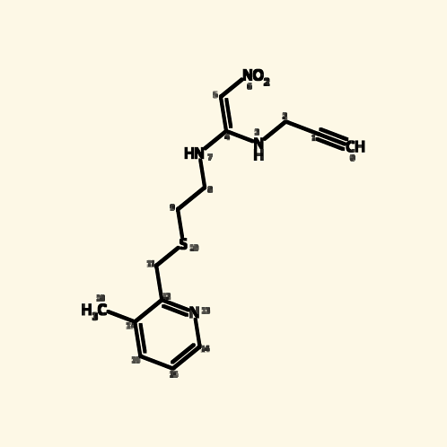 C#CCNC(=C[N+](=O)[O-])NCCSCc1ncccc1C